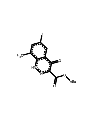 CCCCOC(=O)c1n[nH]c2c(C)cc(I)cc2c1=O